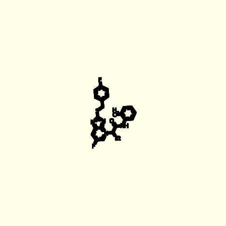 CCC(C(=O)Nc1ccccc1C)n1cc(F)cc2nc(SCc3ccc(F)cc3)nc1-2